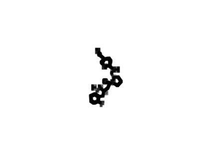 N#Cc1ccc(NC[C@@H]2CCCN2C(=O)C[C@H](N)Cc2ccccc2F)nc1